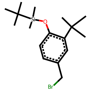 CC(C)(C)c1cc(CBr)ccc1O[Si](C)(C)C(C)(C)C